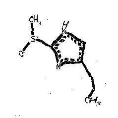 CCc1c[nH]c([S+](C)[O-])n1